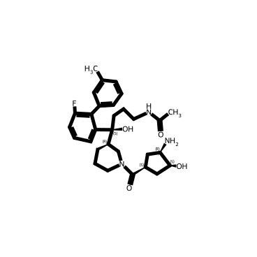 CC(=O)NCCC[C@@](O)(c1cccc(F)c1-c1cccc(C)c1)[C@@H]1CCCN(C(=O)[C@H]2C[C@@H](N)[C@@H](O)C2)C1